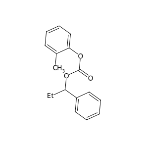 CCC(OC(=O)Oc1ccccc1C)c1ccccc1